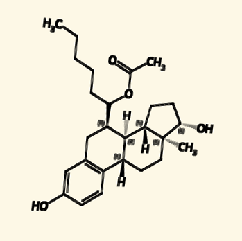 CCCCCC(OC(C)=O)[C@@H]1Cc2cc(O)ccc2[C@H]2CC[C@]3(C)[C@@H](O)CC[C@H]3[C@@H]21